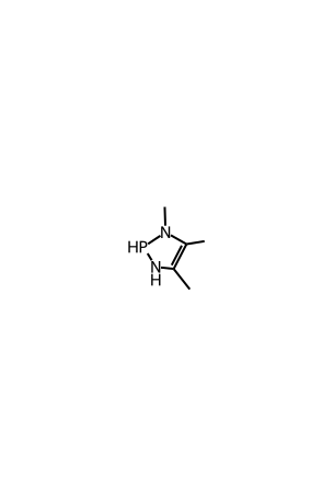 CC1=C(C)N(C)PN1